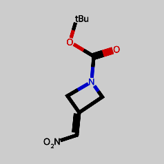 CC(C)(C)OC(=O)N1CC(=C[N+](=O)[O-])C1